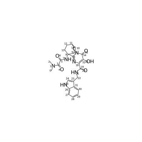 CN(C)C(=O)C(=O)NC12CCC(CC1)Cn1c2nc(C(=O)NCc2c[nH]c3ccccc23)c(O)c1=O